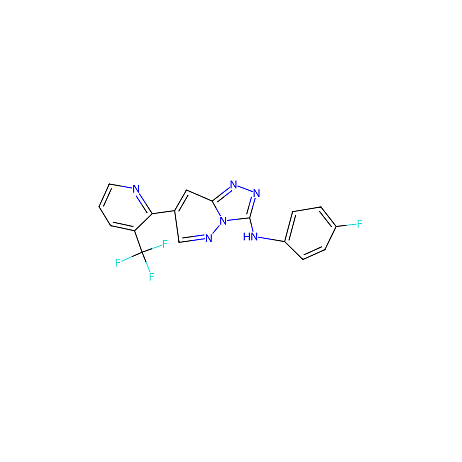 Fc1ccc(Nc2nnc3cc(-c4ncccc4C(F)(F)F)cnn23)cc1